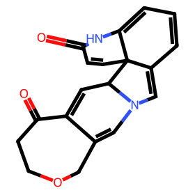 O=C1C=CC23C(=CN4C=C5COCCC(=O)C5=CC42)C=CC=C3N1